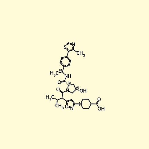 Cc1ncsc1-c1ccc([C@H](C)NC(=O)[C@@H]2C[C@@H](O)CN2C(=O)C(c2cc(N3CCC(C(=O)O)CC3)no2)C(C)C)cc1